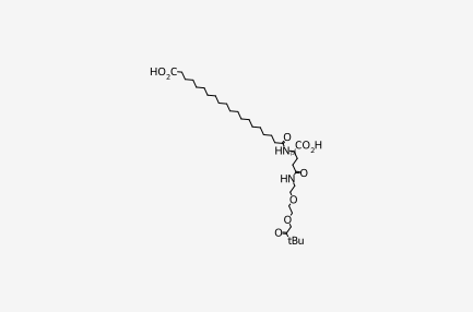 CC(C)(C)C(=O)COCCOCCNC(=O)CC[C@H](NC(=O)CCCCCCCCCCCCCCCCCCC(=O)O)C(=O)O